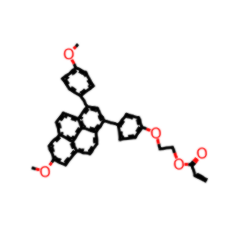 C=CC(=O)OCCOc1ccc(-c2cc(-c3ccc(OC)cc3)c3ccc4cc(OC)cc5ccc2c3c45)cc1